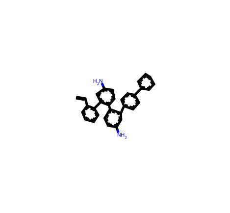 C=Cc1ccccc1-c1cc(N)ccc1-c1ccc(N)cc1-c1ccc(-c2ccccc2)cc1